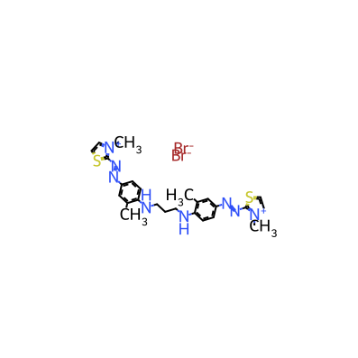 Cc1cc(/N=N/c2scc[n+]2C)ccc1NCCCNc1ccc(/N=N/c2scc[n+]2C)cc1C.[Br-].[Br-]